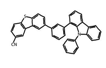 N#Cc1ccc2sc3ccc(-c4cccc(-c5cccc6c7ccccc7n(-c7ccccc7)c56)c4)cc3c2c1